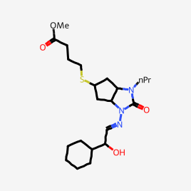 CCCN1C(=O)N(N=CC(O)C2CCCCC2)C2CC(SCCCC(=O)OC)CC21